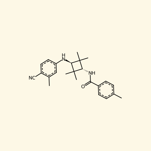 Cc1ccc(C(=O)N[C@H]2C(C)(C)[C@H](Nc3ccc(C#N)c(C)c3)C2(C)C)cc1